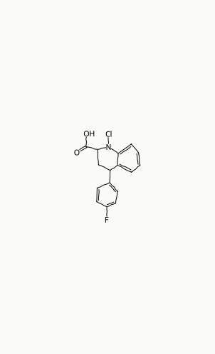 O=C(O)C1CC(c2ccc(F)cc2)c2ccccc2N1Cl